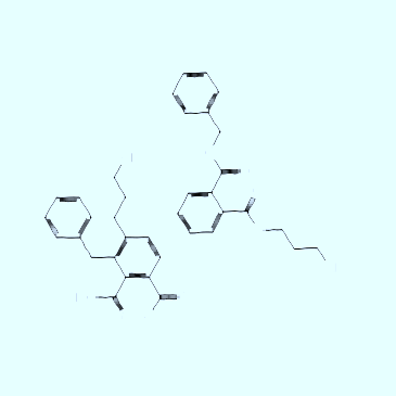 CCCCOC(=O)c1ccccc1C(=O)OCc1ccccc1.CCCCc1ccc(C(=O)O)c(C(=O)O)c1Cc1ccccc1